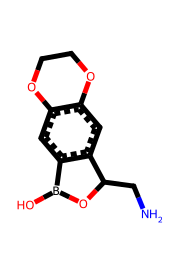 NCC1OB(O)c2cc3c(cc21)OCCO3